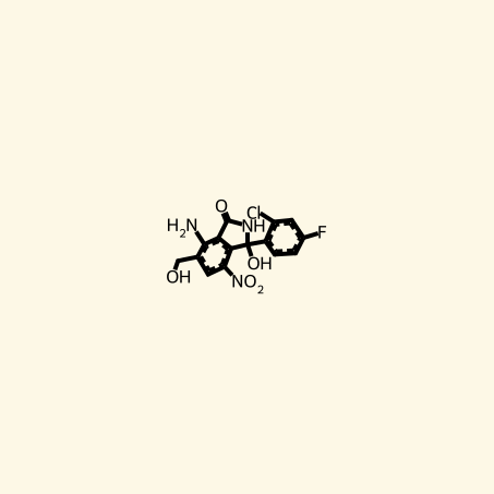 Nc1c(CO)cc([N+](=O)[O-])c2c1C(=O)NC2(O)c1ccc(F)cc1Cl